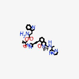 C=C(N[C@@H](C)c1cc2cccc(C#Cc3cnn(C(=O)C4(COC(=O)[C@H](N)Cc5cn(C)c6ccccc56)CC4)c3)c2c(=O)n1C(C)C)c1cnn2cccnc12